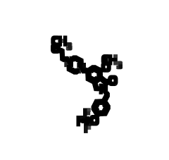 COCCN1CCN(c2cc3c(c(OC)c2)C(=O)N(Cc2ccc(OC(F)(F)F)cc2)C3)CC1